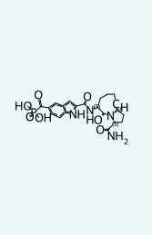 NC(=O)[C@@H]1CC[C@@H]2CCCC[C@H](NC(=O)c3cc4cc(C(=O)P(=O)(O)O)ccc4[nH]3)C(=O)N21